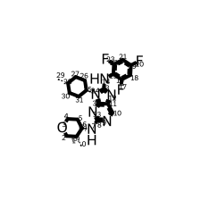 C[C@@H]1COCC[C@@H]1Nc1ncc2nc(Nc3c(F)cc(F)cc3F)n([C@H]3CC[C@@H](C)CC3)c2n1